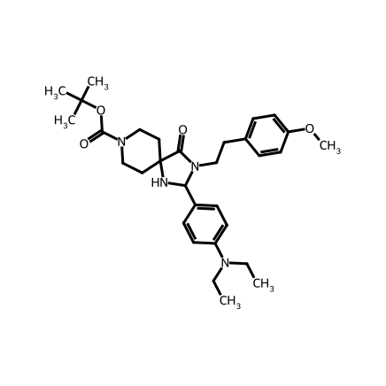 CCN(CC)c1ccc(C2NC3(CCN(C(=O)OC(C)(C)C)CC3)C(=O)N2CCc2ccc(OC)cc2)cc1